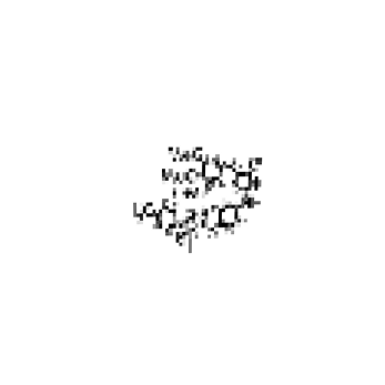 COc1cc(/C=C2\SC(Nc3ccc(CC(=O)NS(=O)(=O)c4ccc(C)cc4)cc3)=NC2=O)cc(OC)c1OC